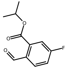 CC(C)OC(=O)c1cc(F)ccc1C=O